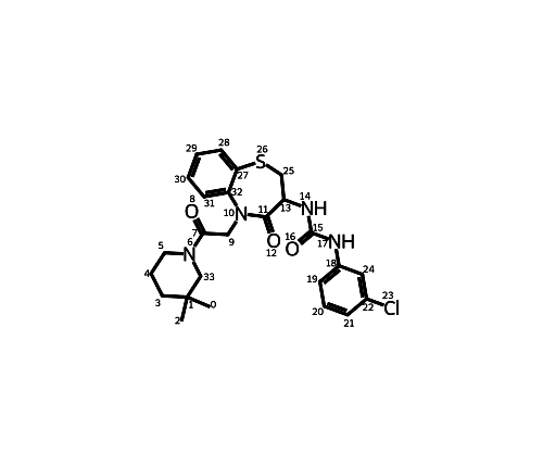 CC1(C)CCCN(C(=O)CN2C(=O)C(NC(=O)Nc3cccc(Cl)c3)CSc3ccccc32)C1